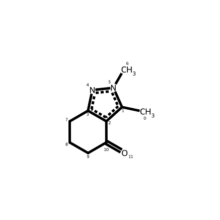 Cc1c2c(nn1C)CCCC2=O